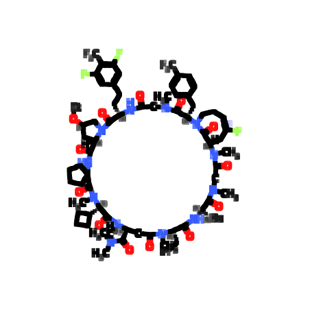 CCO[C@@H]1C[C@H]2C(=O)NC3(CCCC3)C(=O)N(C)[C@@H](C3CCC3)C(=O)N(C)[C@H](C(=O)N(C)C)CC(=O)N(C)[C@@H](CC(C)C)C(=O)N[C@@H]([C@@H](C)CC)C(=O)N(C)CC(=O)N(C)[C@H]3C/C(F)=C\CCN(C3=O)[C@@H](Cc3ccc(C(F)(F)F)cc3)C(=O)N(C)CC(=O)N[C@@H](CCc3cc(F)c(C(F)(F)F)c(F)c3)C(=O)N2C1